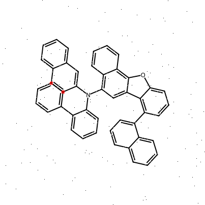 c1ccc(-c2ccccc2N(c2ccc3ccccc3c2)c2cc3c(oc4cccc(-c5cccc6ccccc56)c43)c3ccccc23)cc1